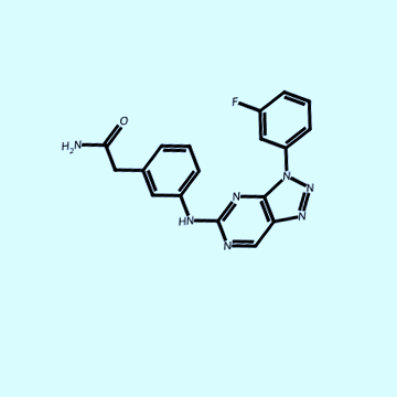 NC(=O)Cc1cccc(Nc2ncc3nnn(-c4cccc(F)c4)c3n2)c1